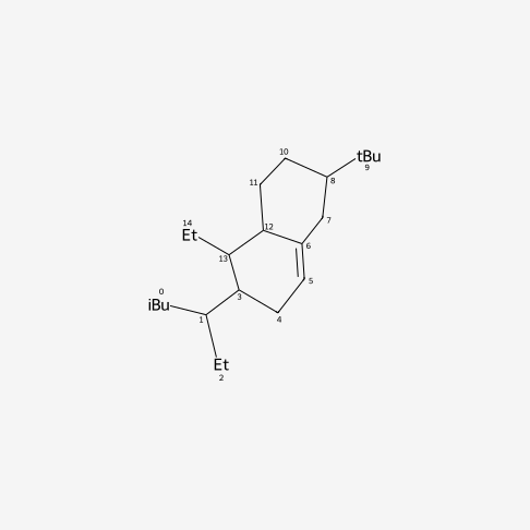 CCC(C)C(CC)C1CC=C2CC(C(C)(C)C)CCC2C1CC